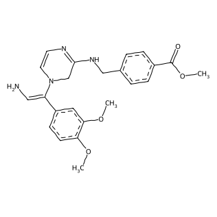 COC(=O)c1ccc(CNC2=NC=CN(/C(=C\N)c3ccc(OC)c(OC)c3)C2)cc1